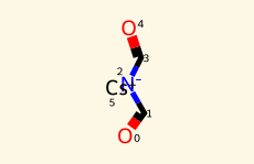 O=C[N-]C=O.[Cs+]